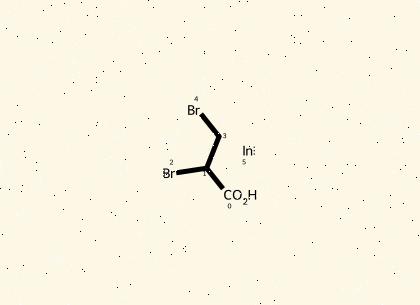 O=C(O)C(Br)CBr.[In]